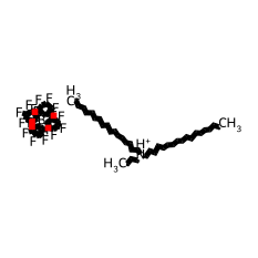 CCCCCCCCCCCCCCCCCC[NH+](CCCC)CCCCCCCCCCCCCCCCCC.Fc1c(F)c(F)c([B-](c2c(F)c(F)c(F)c(F)c2F)(c2c(F)c(F)c(F)c(F)c2F)c2c(F)c(F)c(F)c(F)c2F)c(F)c1F